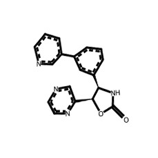 O=C1N[C@H](c2cccc(-c3cccnc3)c2)[C@H](c2cnccn2)O1